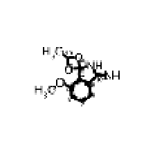 COc1cccc2c1C1(NC2=N)OC(C)O1